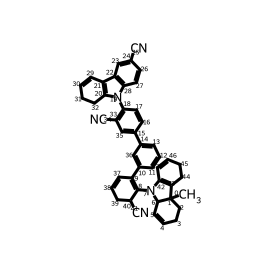 CC12CCC=CC1N(C1=C(c3cccc(-c4ccc(-n5c6c(c7cc(C#N)ccc75)C=CCC6)c(C#N)c4)c3)C=CCC1C#N)C1=C2CCC=C1